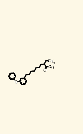 CCC(CCCCCCCc1cccc(Oc2ccccc2)c1)C(=O)O